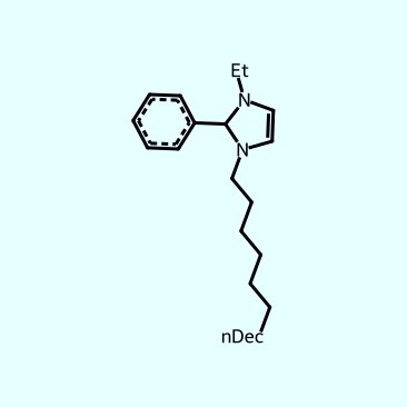 CCCCCCCCCCCCCCCCN1C=CN(CC)C1c1ccccc1